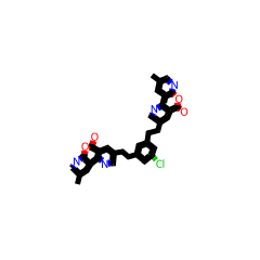 Cc1cnc2oc(=O)c3cc(CCc4cc(Cl)cc(CCc5cnc6c(c5)c(=O)oc5ncc(C)cc56)c4)cnc3c2c1